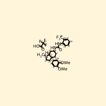 COc1ccc([C@@]23CC[C@@H](NC(=O)Nc4ccccc4C(F)(F)F)C[C@@H]2N(C)CC3)cc1OC.O=C(O)C(F)(F)F